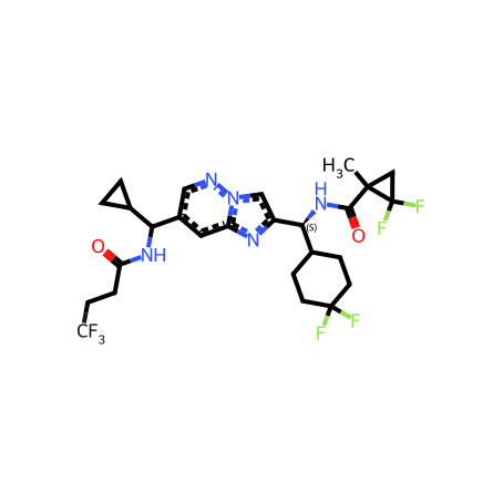 CC1(C(=O)N[C@H](c2cn3ncc(C(NC(=O)CCC(F)(F)F)C4CC4)cc3n2)C2CCC(F)(F)CC2)CC1(F)F